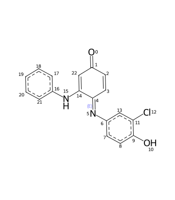 O=C1C=C/C(=N\c2ccc(O)c(Cl)c2)C(Nc2ccccc2)=C1